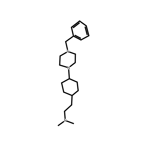 CN(C)CCC1CCC(N2CCN(Cc3ccccc3)CC2)CC1